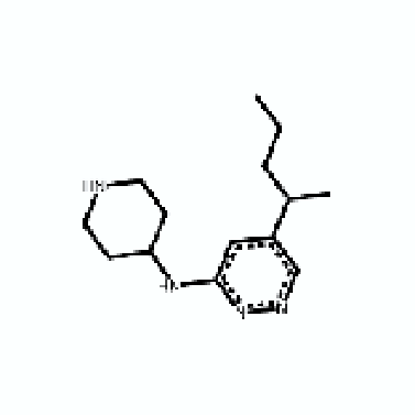 CCCC(C)c1cnnc(NC2CCNCC2)c1